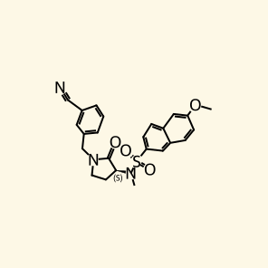 COc1ccc2cc(S(=O)(=O)N(C)[C@H]3CCN(Cc4cccc(C#N)c4)C3=O)ccc2c1